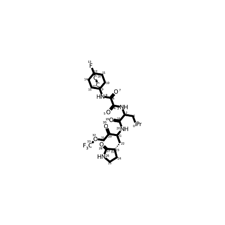 CC(C)CC(NC(=O)C(=O)NC12CCC(F)(CC1)CC2)C(=O)NC(C[C@@H]1CCNC1=O)C(=O)COC(F)(F)F